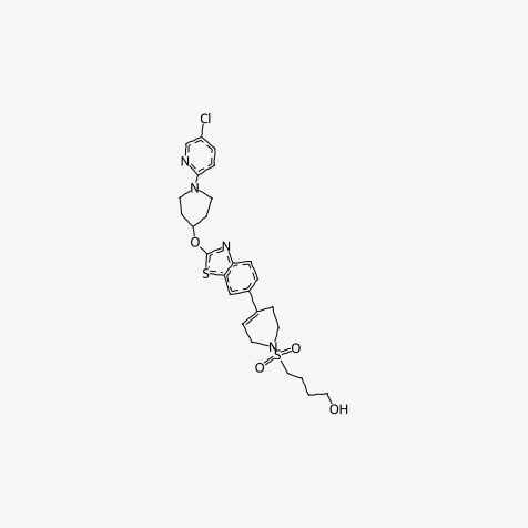 O=S(=O)(CCCCO)N1CC=C(c2ccc3nc(OC4CCN(c5ccc(Cl)cn5)CC4)sc3c2)CC1